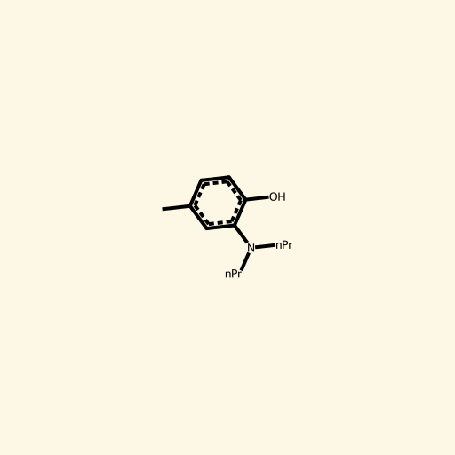 CCCN(CCC)c1cc(C)ccc1O